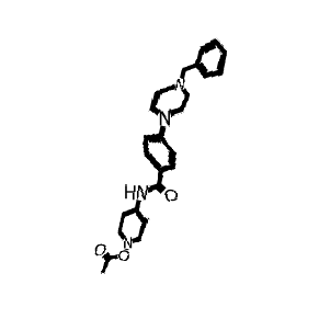 CC(=O)ON1CCC(NC(=O)c2ccc(N3CCN(Cc4ccccc4)CC3)cc2)CC1